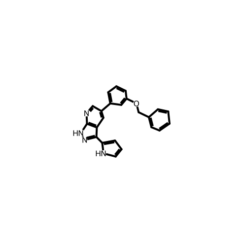 c1ccc(COc2cccc(-c3cnc4[nH]nc(-c5ccc[nH]5)c4c3)c2)cc1